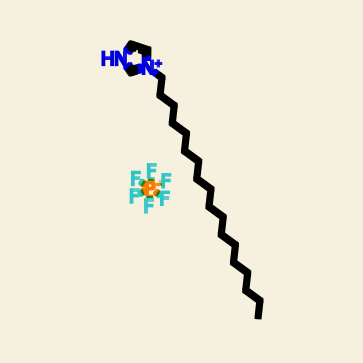 CCCCCCCCCCCCCCCCCC[n+]1cc[nH]c1.F[P-](F)(F)(F)(F)F